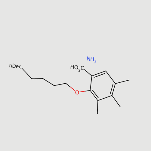 CCCCCCCCCCCCCCOc1c(C(=O)O)cc(C)c(C)c1C.N